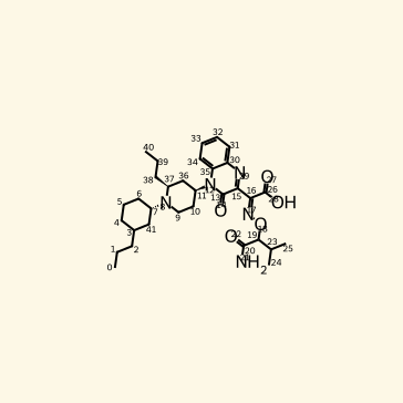 CCCC1CCC[C@H](N2CC[C@H](n3c(=O)c(/C(=N/OC(C(N)=O)C(C)C)C(=O)O)nc4ccccc43)C[C@@H]2CCC)C1